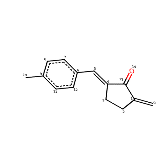 C=C1CC/C(=C\c2ccc(C)cc2)C1=O